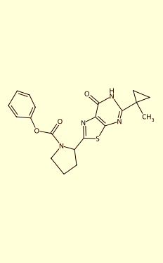 CC1(c2nc3sc(C4CCCN4C(=O)Oc4ccccc4)nc3c(=O)[nH]2)CC1